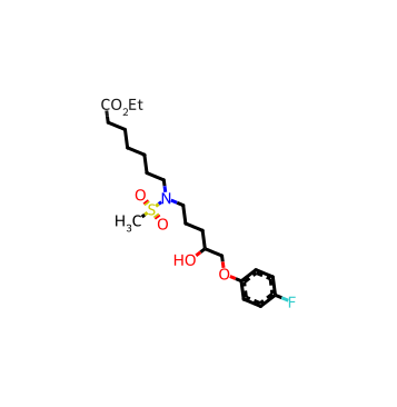 CCOC(=O)CCCCCCN(CCCC(O)COc1ccc(F)cc1)S(C)(=O)=O